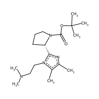 Cc1nc([C@@H]2CCCN2C(=O)OC(C)(C)C)n(CCN(C)C)c1C